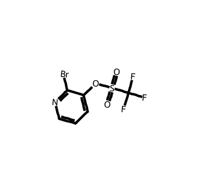 O=S(=O)(Oc1cccnc1Br)C(F)(F)F